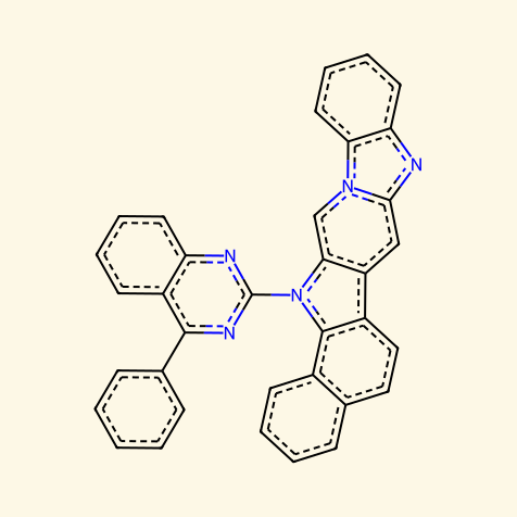 c1ccc(-c2nc(-n3c4cn5c(cc4c4ccc6ccccc6c43)nc3ccccc35)nc3ccccc23)cc1